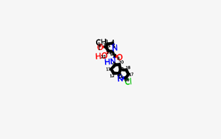 COc1ccnc(C(=O)Nc2ccc3nc(Cl)ccc3c2)c1O